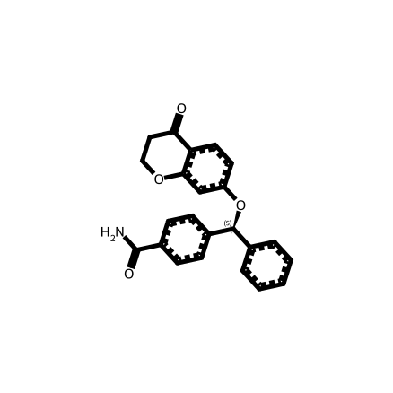 NC(=O)c1ccc([C@@H](Oc2ccc3c(c2)OCCC3=O)c2ccccc2)cc1